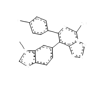 Cn1cnc2ccc(-c3c(-c4ccc(F)cc4)nc(N)n4nnnc34)cc21